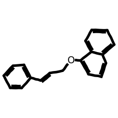 C(=Cc1ccccc1)COc1cccc2ccccc12